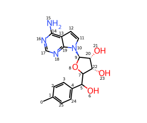 Cc1ccc(C(O)C2O[C@@H](n3ccc4c(N)ncnc43)[C@H](O)[C@@H]2O)cc1